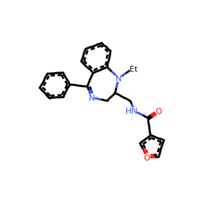 CCN1c2ccccc2C(c2ccccc2)=NCC1CNC(=O)c1ccoc1